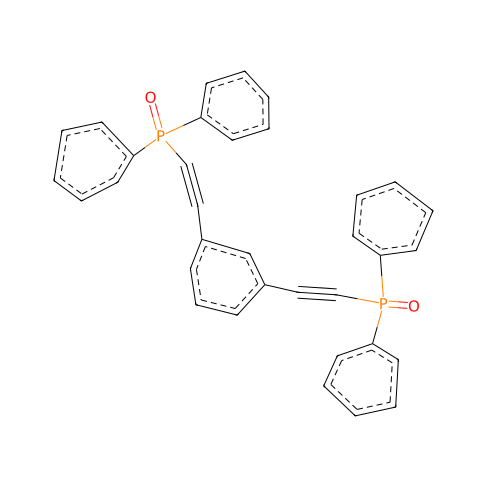 O=P(C#Cc1cccc(C#CP(=O)(c2ccccc2)c2ccccc2)c1)(c1ccccc1)c1ccccc1